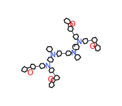 c1ccc(N(c2ccc(-c3ccc(N(c4ccccc4)c4ccc(N(c5ccc(-c6ccc7c(c6)oc6ccccc67)cc5)c5ccc(-c6cccc7c6oc6ccccc67)cc5)cc4)cc3)cc2)c2ccc(N(c3ccc(-c4ccc5c(c4)oc4ccccc45)cc3)c3ccc(-c4cccc5c4oc4ccccc45)cc3)cc2)cc1